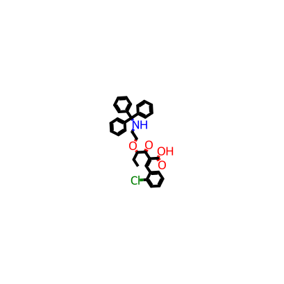 CCC(OCCNC(c1ccccc1)(c1ccccc1)c1ccccc1)C(=O)C(=Cc1ccccc1Cl)C(=O)O